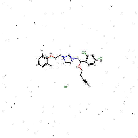 CC#CCCOC(C[n+]1ccn(CCOc2c(C)cccc2C)c1)c1ccc(Cl)cc1Cl.[Br-]